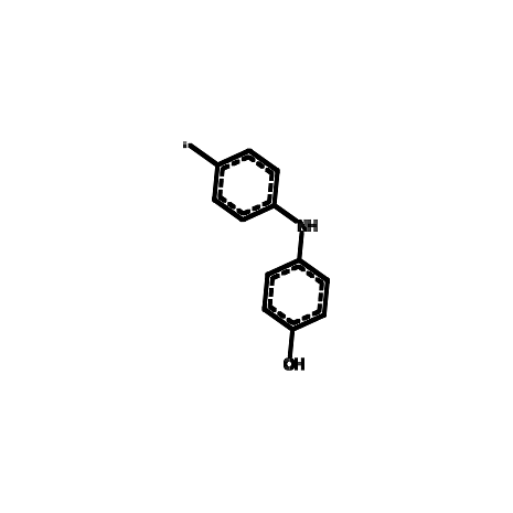 [CH]c1ccc(Nc2ccc(O)cc2)cc1